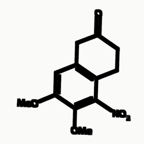 COc1cc2c(c([N+](=O)[O-])c1OC)CCC(=O)C2